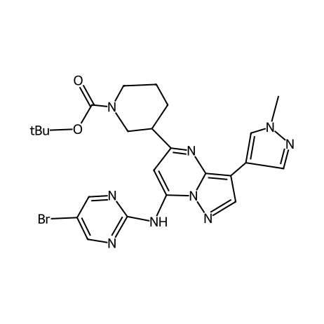 Cn1cc(-c2cnn3c(Nc4ncc(Br)cn4)cc(C4CCCN(C(=O)OC(C)(C)C)C4)nc23)cn1